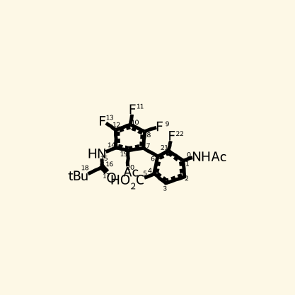 CC(=O)Nc1ccc(C(=O)O)c(-c2c(F)c(F)c(F)c(NC(=O)C(C)(C)C)c2C(C)=O)c1F